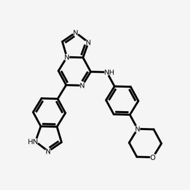 c1cc(N2CCOCC2)ccc1Nc1nc(-c2ccc3[nH]ncc3c2)cn2cnnc12